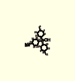 Cc1ccc([B-](O)(c2ccc(C)cc2)c2ccc(C)cc2)cc1.[Na+]